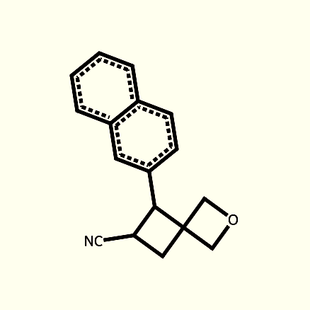 N#CC1CC2(COC2)C1c1ccc2ccccc2c1